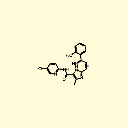 Cc1nc(/C=C\C(=N)c2ccccc2C(F)(F)F)[nH]c1C(=O)Nc1ccc(Cl)cn1